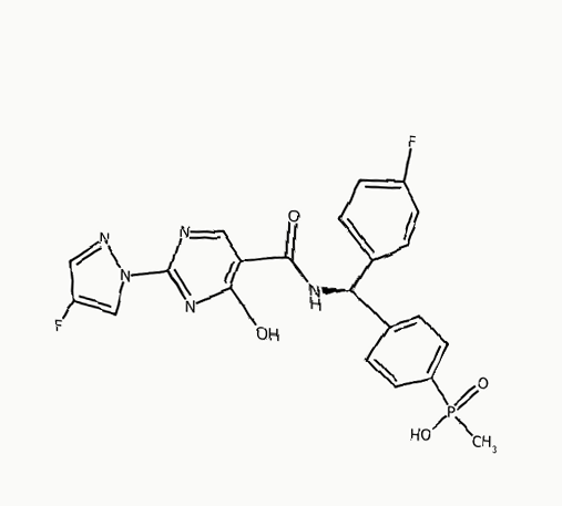 CP(=O)(O)c1ccc([C@@H](NC(=O)c2cnc(-n3cc(F)cn3)nc2O)c2ccc(F)cc2)cc1